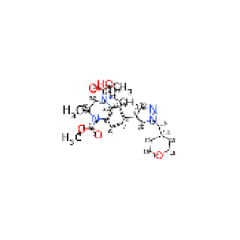 COC(=O)N1c2ccc(-c3cnn(CC4CCOCC4)c3)cc2[N+](C(=O)O)(C(C)C)C[C@@H]1C